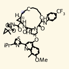 COc1ccc2c(O[C@@H]3C[C@H]4C(=O)N[C@]5(C(=O)NS(=O)(=O)C6(C)CC6)C[C@H]5/C=C\CCCCC[C@H](Nc5ccc(C(F)(F)F)cc5)C(=O)N4C3)cc(-c3nc(C(C)C)cs3)nc2c1C